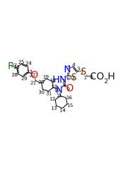 O=C(O)CSc1cnc(NC(=O)N(C2CCCCC2)C2CCC(COc3ccc(F)cc3)CC2)s1